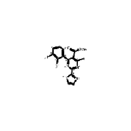 COC(=O)c1c(C)nc(-c2nccs2)nc1-c1cccc(F)c1Cl